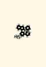 Cl.Cl.c1ccc([PH](c2ccccc2)(c2ccccc2)c2ccc3ccccc3c2)cc1